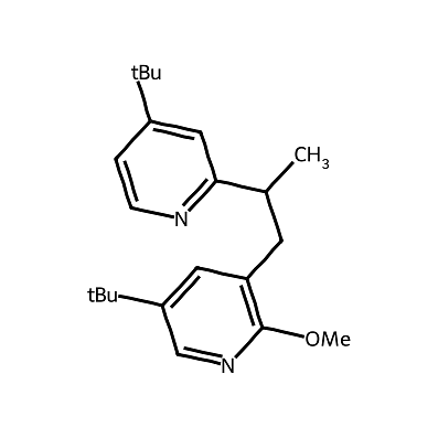 COc1ncc(C(C)(C)C)cc1CC(C)c1cc(C(C)(C)C)ccn1